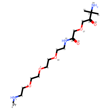 CC(C)NCCOCCOCCOCCNC(=O)COCC(=O)C(C)(C)N